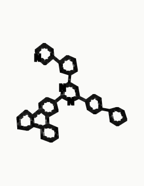 c1ccc(-c2ccc(-c3cc(-c4cccc(-c5cccnc5)c4)nc(-c4ccc5c6ccccc6c6ccccc6c5c4)n3)cc2)cc1